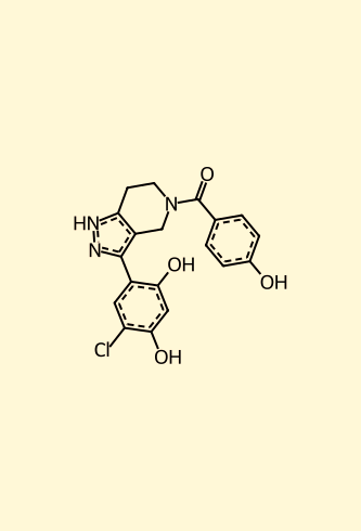 O=C(c1ccc(O)cc1)N1CCc2[nH]nc(-c3cc(Cl)c(O)cc3O)c2C1